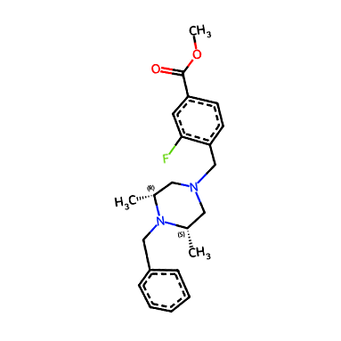 COC(=O)c1ccc(CN2C[C@@H](C)N(Cc3ccccc3)[C@@H](C)C2)c(F)c1